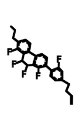 C=CCCc1ccc(-c2ccc3c(c2F)C(F)C(F)c2c-3ccc(CCC)c2F)c(F)c1